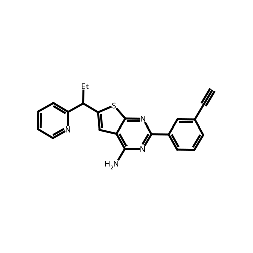 C#Cc1cccc(-c2nc(N)c3cc(C(CC)c4ccccn4)sc3n2)c1